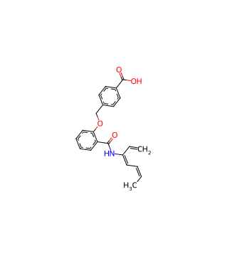 C=C/C(=C\C=C/C)NC(=O)c1ccccc1OCc1ccc(C(=O)O)cc1